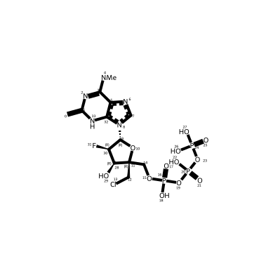 C=C1N=C(NC)c2ncn([C@@H]3O[C@](CCl)(COP(=O)(O)OP(=O)(O)OP(=O)(O)O)[C@@H](O)[C@H]3F)c2N1